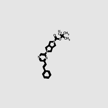 CC(C)(C)OC(=O)N1CC2CN(c3cncc(C=Cc4ccccc4)n3)CC2C1